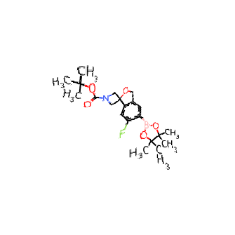 CC(C)(C)OC(=O)N1CC2(C1)OCc1cc(B3OC(C)(C)C(C)(C)O3)c(F)cc12